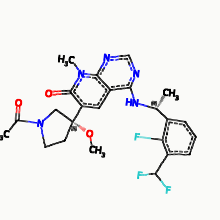 CO[C@]1(c2cc3c(N[C@H](C)c4cccc(C(F)F)c4F)ncnc3n(C)c2=O)CCN(C(C)=O)C1